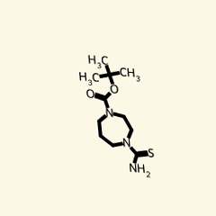 CC(C)(C)OC(=O)N1CCCN(C(N)=S)CC1